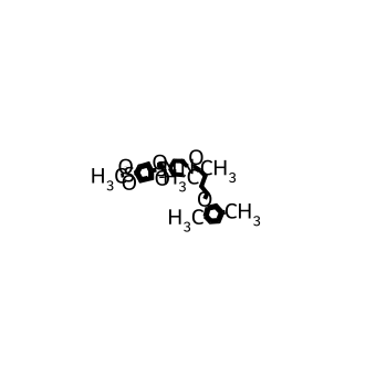 Cc1ccc(C)c(OCCCC(C)(C)C(=O)N2CCN(S(=O)(=O)c3ccc(S(C)(=O)=O)cc3)CC2)c1